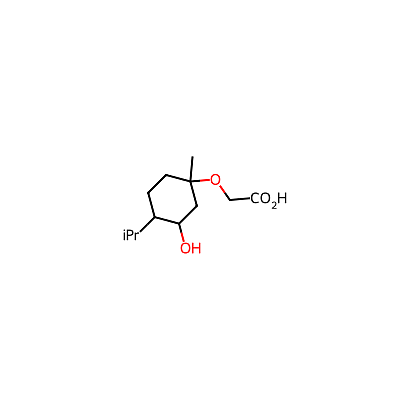 CC(C)C1CCC(C)(OCC(=O)O)CC1O